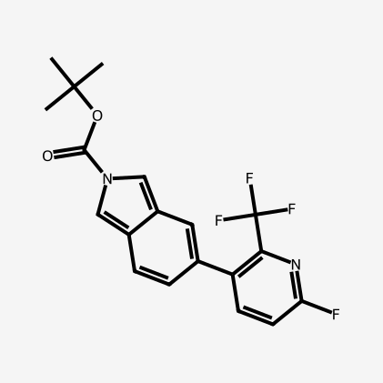 CC(C)(C)OC(=O)n1cc2ccc(-c3ccc(F)nc3C(F)(F)F)cc2c1